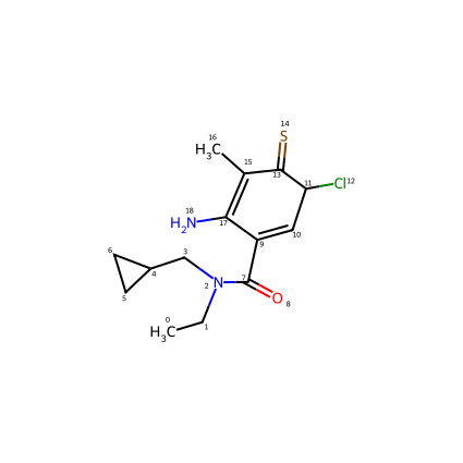 CCN(CC1CC1)C(=O)C1=CC(Cl)C(=S)C(C)=C1N